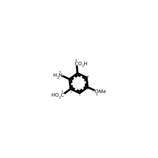 COc1cc(C(=O)O)c(N)c(C(=O)O)c1